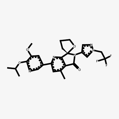 COc1cc(-c2cc(C)c3c(n2)[C@@]2(CCCO2)N(c2cnn(CC(F)(F)F)c2)C3=O)cnc1OC(C)C